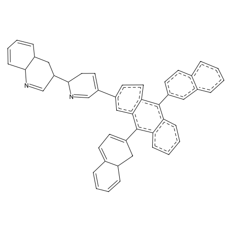 C1=CC2=CC=C(c3c4ccccc4c(-c4ccc5ccccc5c4)c4ccc(C5=CCC(C6C=NC7C=CC=CC7C6)N=C5)cc34)CC2C=C1